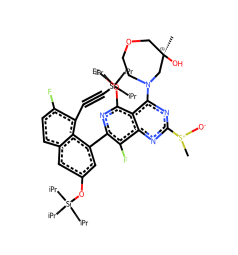 CCOc1nc(-c2cc(O[Si](C(C)C)(C(C)C)C(C)C)cc3ccc(F)c(C#C[Si](C(C)C)(C(C)C)C(C)C)c23)c(F)c2nc([S+](C)[O-])nc(N3CCOC[C@@](C)(O)C3)c12